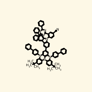 CC(C)(C)c1ccc2c(c1)N(c1ccc(-c3ccccc3)cc1)c1cc(-c3ccc4c(c3)c3ccc(-c5ccccc5)cc3n4-c3ccc(C#N)cc3-c3nc(-c4ccccc4)nc(-c4ccccc4)n3)cc3c1B2c1ccc(C(C)(C)C)cc1N3c1ccc(-c2ccccc2)cc1